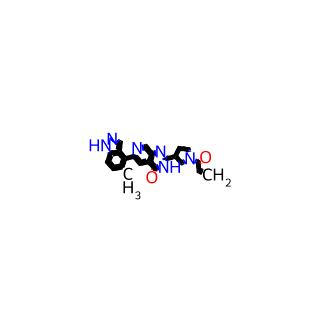 C=CC(=O)N1CCC(c2nc3cnc(-c4c(C)ccc5[nH]ncc45)cc3c(=O)[nH]2)C1